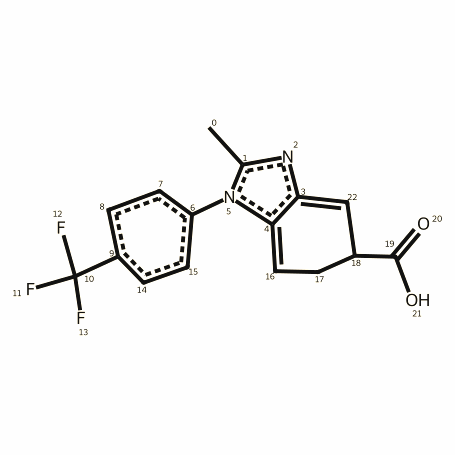 Cc1nc2c(n1-c1ccc(C(F)(F)F)cc1)=CCC(C(=O)O)C=2